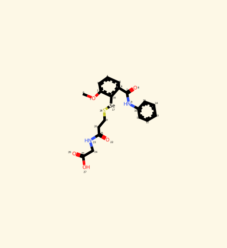 COc1cccc(C(=O)Nc2ccccc2)c1[Se]SCCC(=O)NCC(=O)O